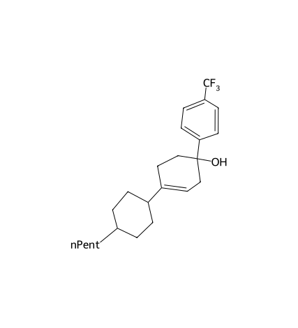 CCCCCC1CCC(C2=CCC(O)(c3ccc(C(F)(F)F)cc3)CC2)CC1